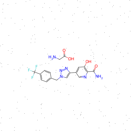 NC(=O)c1ncc(-c2cn(Cc3ccc(C(F)(F)F)cc3)nn2)cc1O.NCC(=O)O